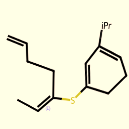 C=CCC/C(=C\C)SC1=CC(C(C)C)=CCC1